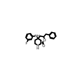 O=COC(Cc1ccccc1)CC1(Nc2cccc(F)c2)CCNCC1